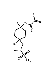 C=C(F)C(=O)OC1(C)CCC(O)(CN(C)S(=O)(=O)C(F)(F)F)CC1